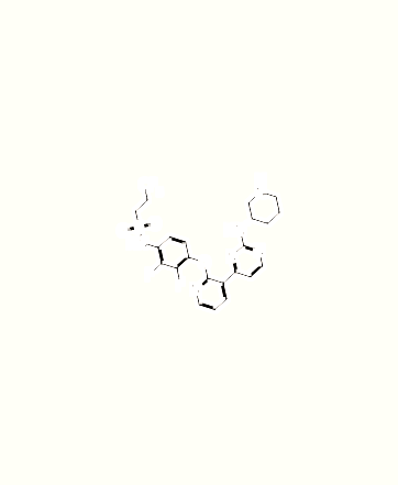 O=S(=O)(CCC(F)(F)F)Nc1ccc(Oc2ncccc2-c2ccnc(N[C@H]3CCCNC3)n2)c(F)c1F